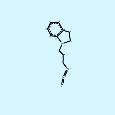 [N-]=[N+]=NCCCN1CCc2ccccc21